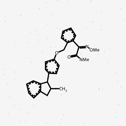 CNC(=O)/C(=N\OC)c1ccccc1COc1ccc(C2c3ccccc3CC2C)cc1